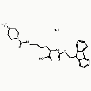 CN1CCN(C(=O)NCCCCC(NC(=O)OCC2c3ccccc3-c3ccccc32)C(=O)O)CC1.Cl